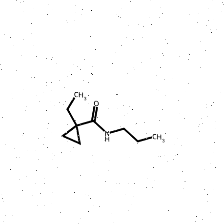 CCCNC(=O)C1(CC)CC1